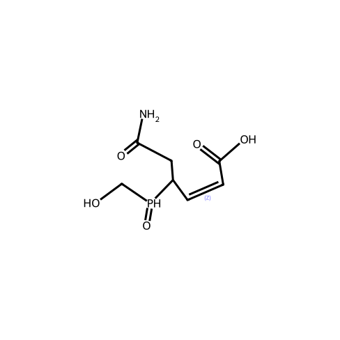 NC(=O)CC(/C=C\C(=O)O)[PH](=O)CO